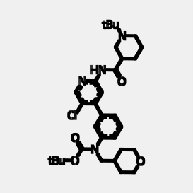 CC(C)(C)OC(=O)N(CC1CCOCC1)c1cccc(-c2cc(NC(=O)C3CCCN(C(C)(C)C)C3)ncc2Cl)c1